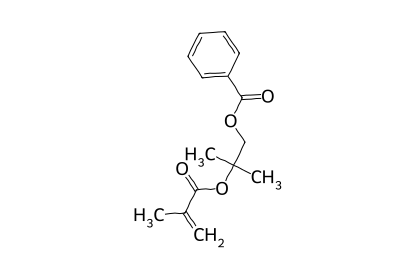 C=C(C)C(=O)OC(C)(C)COC(=O)c1ccccc1